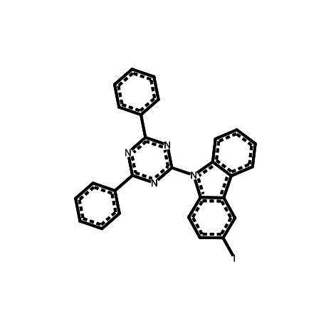 Ic1ccc2c(c1)c1ccccc1n2-c1nc(-c2ccccc2)nc(-c2ccccc2)n1